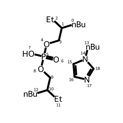 CCCCC(CC)COP(=O)(O)OCC(CC)CCCC.CCCCn1ccnc1